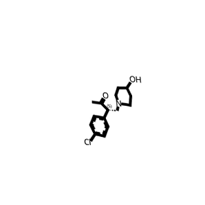 CC(=O)[C@H](CN1CCC(O)CC1)c1ccc(Cl)cc1